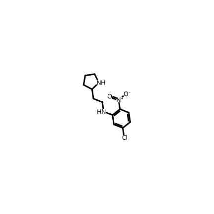 O=[N+]([O-])c1ccc(Cl)cc1NCCC1CCCN1